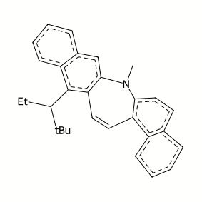 CCC(c1c2c(cc3ccccc13)N(C)c1ccc3ccccc3c1C=C2)C(C)(C)C